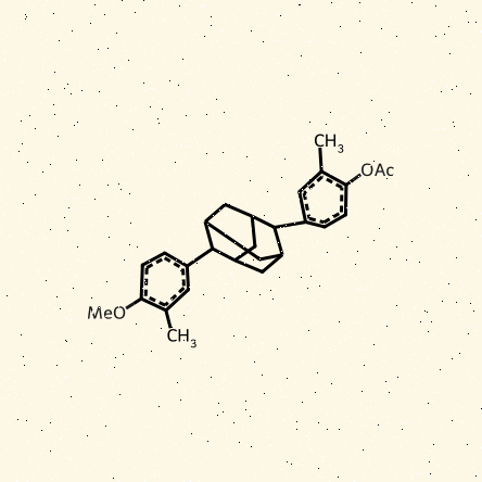 COc1ccc(C2C3CC4CC2CC(C3)C4c2ccc(OC(C)=O)c(C)c2)cc1C